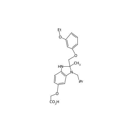 CCOc1cccc(OCC2(C)Nc3ccc(OCC(=O)O)cc3N2CC(C)C)c1